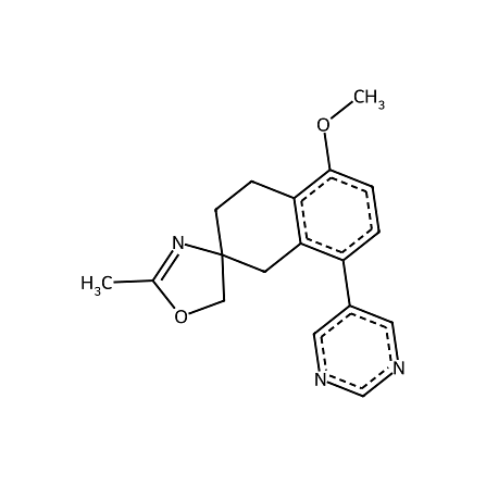 COc1ccc(-c2cncnc2)c2c1CCC1(COC(C)=N1)C2